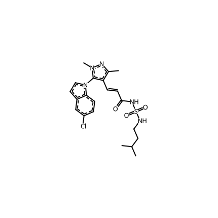 Cc1nn(C)c(-n2ccc3cc(Cl)ccc32)c1/C=C/C(=O)NS(=O)(=O)NCCC(C)C